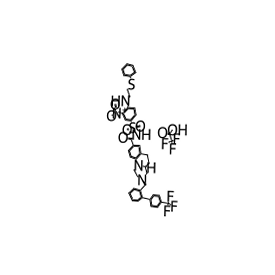 O=C(NS(=O)(=O)c1ccc(NCCSc2ccccc2)c([N+](=O)[O-])c1)c1ccc2c(c1)CC[C@H]1CN(Cc3ccccc3-c3ccc(C(F)(F)F)cc3)CCN21.O=C(O)C(F)(F)F